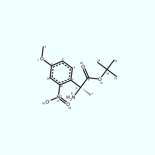 COc1ccc([C@](C)(N)C(=O)OC(C)(C)C)c([N+](=O)[O-])c1